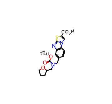 CC(C)(C)OC(=O)N(Cc1ccc2c(c1)nc1sc(C(=O)O)cn12)CC1CCCO1